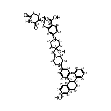 O=C1CCC(NCc2cc(N3CCC(O)(CN4CCN(c5ccc(C6c7ccc(O)cc7CCC6c6ccccc6)cc5)CC4)CC3)ccc2C(=O)O)C(=O)N1